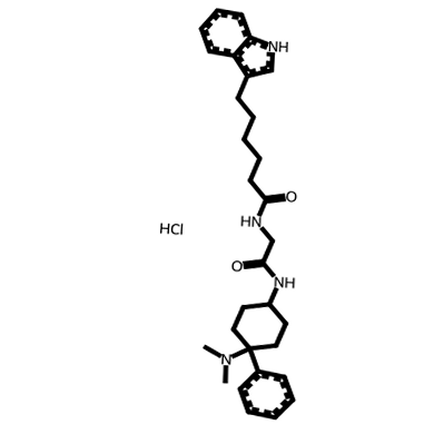 CN(C)C1(c2ccccc2)CCC(NC(=O)CNC(=O)CCCCCc2c[nH]c3ccccc23)CC1.Cl